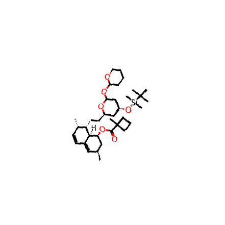 C[C@H]1C=C2C=C[C@H](C)[C@H](CC[C@@H]3C[C@@H](O[Si](C)(C)C(C)(C)C)CC(OC4CCCCO4)O3)[C@H]2[C@@H](OC(=O)C2(C)CCC2)C1